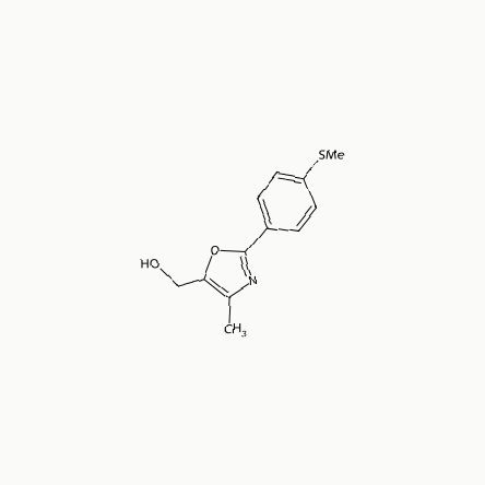 CSc1ccc(-c2nc(C)c(CO)o2)cc1